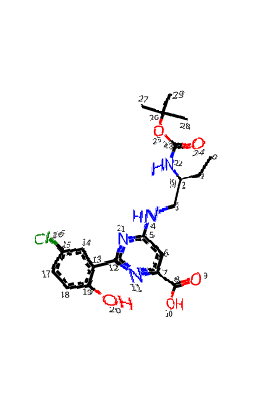 CC[C@@H](CNc1cc(C(=O)O)nc(-c2cc(Cl)ccc2O)n1)NC(=O)OC(C)(C)C